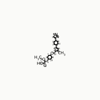 CCO[C@@H](Cc1ccc(OCc2sc(-c3ccc(-c4csnn4)cc3)cc2C)cc1)C(=O)O